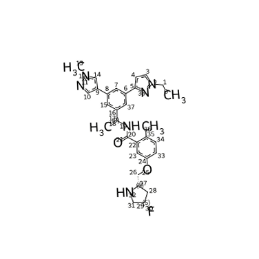 CCn1ccc(-c2cc(-c3cnn(C)c3)cc([C@@H](C)NC(=O)c3cc(OC[C@@H]4C[C@H](F)CN4)ccc3C)c2)n1